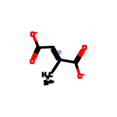 C/C(=C\C(=O)[O-])C(=O)[O-].[Sr+2]